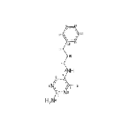 Cc1nc(N)ncc1NCCCc1ccccc1